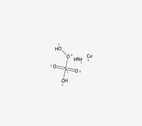 O=S(=O)(O)OO.[Cu].[NaH]